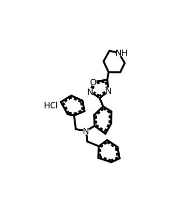 Cl.c1ccc(CN(Cc2ccccc2)c2cccc(-c3noc(C4CCNCC4)n3)c2)cc1